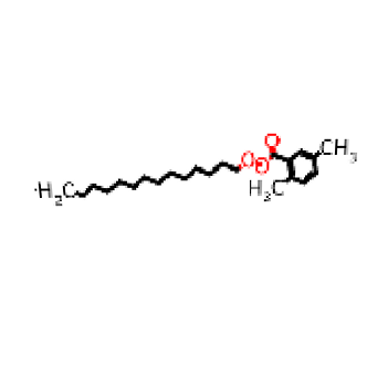 [CH2]CCCCCCCCCCCCCOOC(=O)c1cc(C)ccc1C